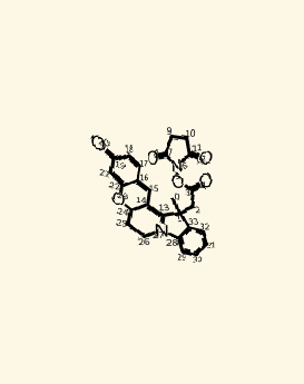 CC1(CC(=O)ON2C(=O)CCC2=O)C2=C3C=C4C=CC(=O)C=C4OC3CCN2c2ccccc21